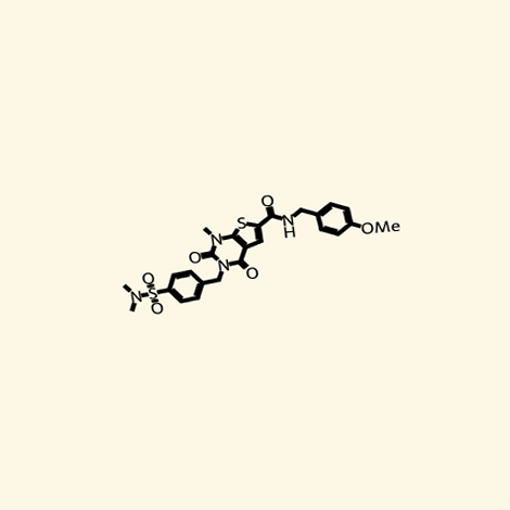 COc1ccc(CNC(=O)c2cc3c(=O)n(Cc4ccc(S(=O)(=O)N(C)C)cc4)c(=O)n(C)c3s2)cc1